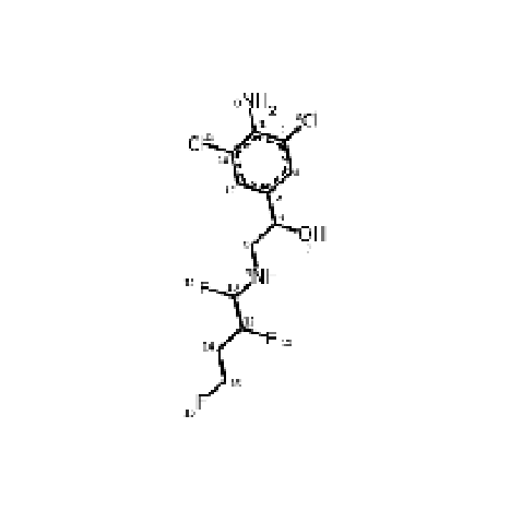 Nc1c(Cl)cc(C(O)CNC(F)C(F)CCF)cc1Cl